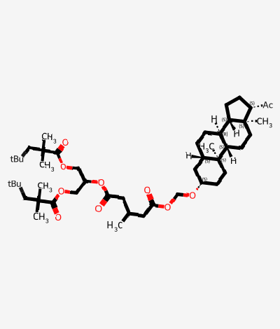 CC(=O)[C@H]1CC[C@H]2[C@@H]3CC[C@H]4C[C@@H](OCOC(=O)CC(C)CC(=O)OC(COC(=O)C(C)(C)CC(C)(C)C)COC(=O)C(C)(C)CC(C)(C)C)CC[C@]4(C)[C@H]3CC[C@]12C